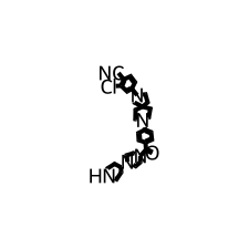 N#Cc1ccc(N2CCC3(CCN(c4ccc(C(=O)N5CCN(C6CCNCC6)CC5)cc4)CC3)C2)cc1Cl